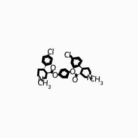 CN1CC[C@H](c2ccc(Cl)cc2)[C@@H](C(=O)Oc2ccc(OC(=O)[C@H]3CN(C)CC[C@@H]3c3ccc(Cl)cc3)cc2)C1